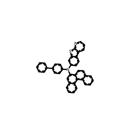 c1ccc(-c2ccc(N(c3ccc4c(c3)sc3ncccc34)c3cc4ccccc4c4c3ccc3ccccc34)cc2)cc1